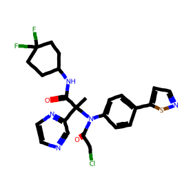 CC(C(=O)NC1CCC(F)(F)CC1)(c1cnccn1)N(C(=O)CCl)c1ccc(-c2ccns2)cc1